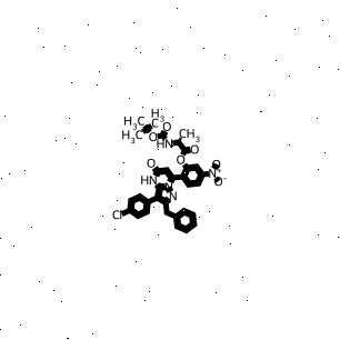 C[C@H](NC(=O)OC(C)(C)C)C(=O)Oc1cc([N+](=O)[O-])ccc1-c1cc(=O)[nH]c2c(-c3ccc(Cl)cc3)c(Cc3ccccc3)nn12